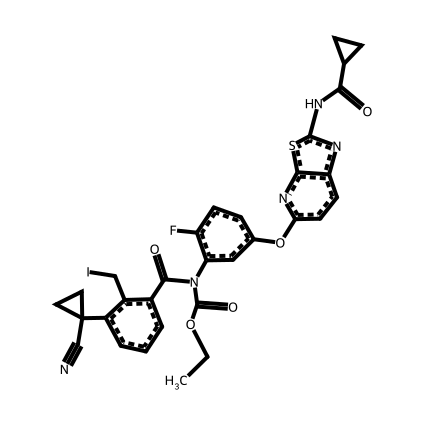 CCOC(=O)N(C(=O)c1cccc(C2(C#N)CC2)c1CI)c1cc(Oc2ccc3nc(NC(=O)C4CC4)sc3n2)ccc1F